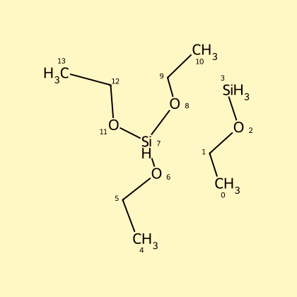 CCO[SiH3].CCO[SiH](OCC)OCC